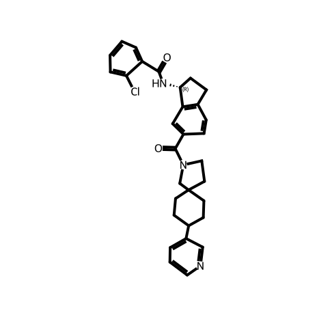 O=C(N[C@@H]1CCc2ccc(C(=O)N3CCC4(CCC(c5cccnc5)CC4)C3)cc21)c1ccccc1Cl